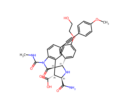 CNC(=O)N1C(=O)[C@@]2(c3cc(C#Cc4ccc(OC)cc4)ccc31)[C@H](c1ccc(OCCO)cc1)N[C@@H](C(N)=O)[C@@H]2C(=O)O